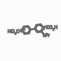 CCCc1cc(-c2cc[n+](C(=O)O)cc2)cc[n+]1C(=O)O